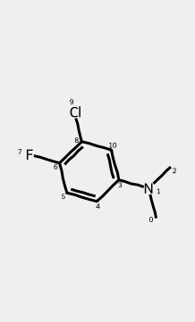 CN(C)c1ccc(F)c(Cl)c1